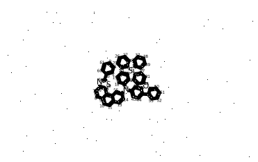 c1ccc(-c2nc3ccc4ccc5ccc(N(c6cccc([Si](c7ccccc7)(c7ccccc7)c7ccccc7)c6)c6ccc7c(c6)oc6ccccc67)cc5c4c3s2)cc1